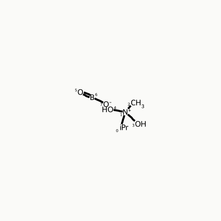 CC(C)[N+](C)(O)O.O=B[O-]